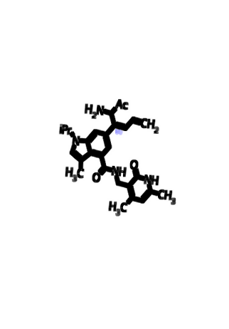 C=C/C=C(/c1cc(C(=O)NCc2c(C)cc(C)[nH]c2=O)c2c(C)cn(C(C)C)c2c1)C(N)C(C)=O